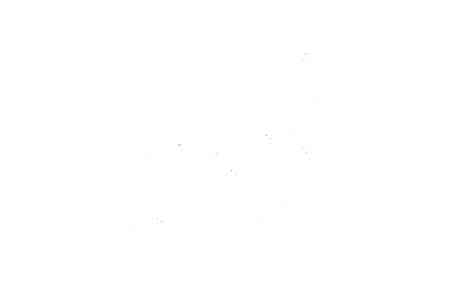 Cc1csc2nc(-c3ccncc3)nc(NCc3cccc([N+](=O)[O-])c3)c12